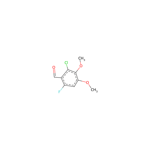 COc1cc(F)c(C=O)c(Cl)c1OC